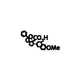 COc1ccc2c(c1)CCC([C@@H]1CC[C@H](OC(=O)c3ccccc3)[C@@]1(C)CC(=O)O)C2